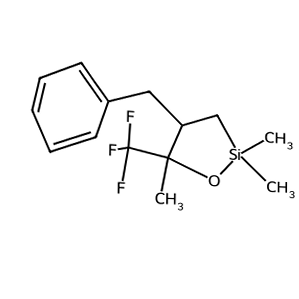 CC1(C(F)(F)F)O[Si](C)(C)CC1Cc1ccccc1